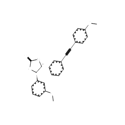 COc1cccc([C@H]2OC(=O)N[C@@H]2c2cccc(C#Cc3ccc(SC)cc3)c2)c1